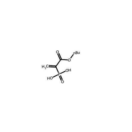 C=C(C(=O)OCCCC)P(=O)(O)O